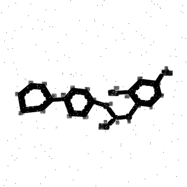 CC(C)(C)c1ccc(OP(O)Oc2ccc(-c3ccccc3)cc2)c(C(C)(C)C)c1